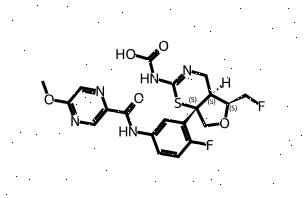 COc1cnc(C(=O)Nc2ccc(F)c([C@]34CO[C@H](CF)[C@@H]3CN=C(NC(=O)O)S4)c2)cn1